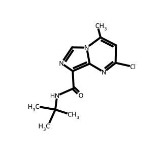 Cc1cc(Cl)nc2c(C(=O)NC(C)(C)C)ncn12